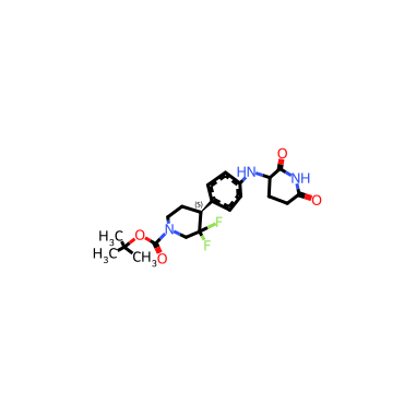 CC(C)(C)OC(=O)N1CC[C@@H](c2ccc(NC3CCC(=O)NC3=O)cc2)C(F)(F)C1